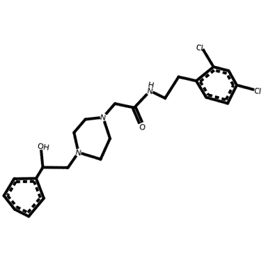 O=C(CN1CCN(CC(O)c2ccccc2)CC1)NCCc1ccc(Cl)cc1Cl